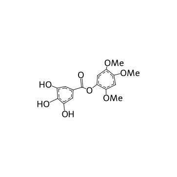 COc1cc(OC)c(OC(=O)c2cc(O)c(O)c(O)c2)cc1OC